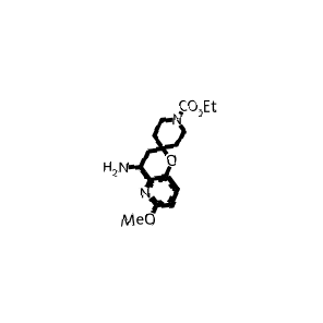 CCOC(=O)N1CCC2(CC1)CC(N)c1nc(OC)ccc1O2